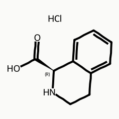 Cl.O=C(O)[C@@H]1NCCc2ccccc21